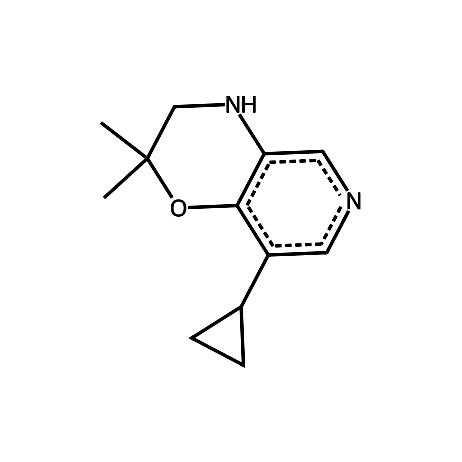 CC1(C)CNc2cncc(C3CC3)c2O1